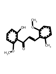 COc1cccc(C)c1/C=C/C(=O)c1c(O)cccc1OC